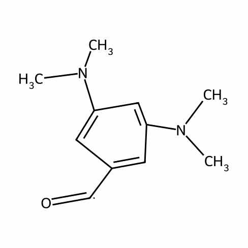 CN(C)c1cc([C]=O)cc(N(C)C)c1